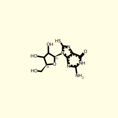 Nc1nc2c(nc(S)n2[C@H]2O[C@@H](CO)C(O)C2O)c(=O)[nH]1